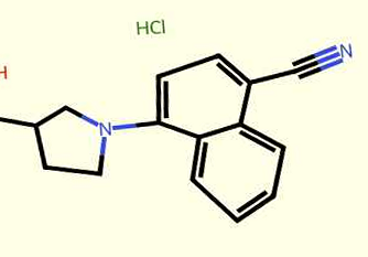 Cl.N#Cc1ccc(N2CCC(CO)C2)c2ccccc12